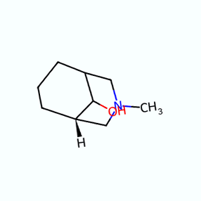 CN1CC2CCC[C@@H](C1)C2O